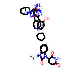 Cn1c(=O)n(C2CCC(=O)NC2=O)c2ccc([C@H]3CC[C@@H](N4CCC(c5nccc(N6C7CCC6CN(c6cc(-c8ccccc8O)nnc6N)C7)n5)CC4)CC3)cc21